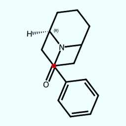 O=C1CC2CCC[C@H](C1)N2Cc1ccccc1